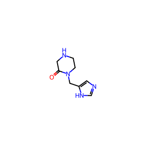 O=C1CNCCN1Cc1cnc[nH]1